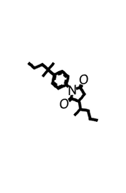 CCCC(C)C1CC(=O)N(c2ccc(C(C)(C)CCC)cc2)C1=O